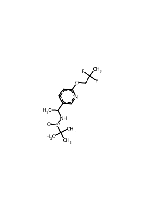 CC(N[S@+]([O-])C(C)(C)C)c1ccc(OCC(C)(F)F)nc1